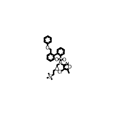 Cc1onc(N(COCC[Si](C)(C)C)S(=O)(=O)c2ccccc2-c2ccccc2COc2ccccc2)c1Cl